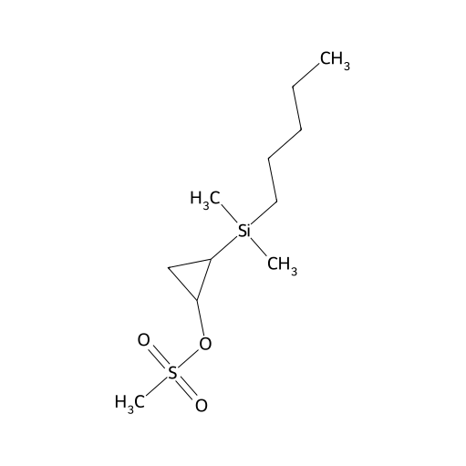 CCCCC[Si](C)(C)C1CC1OS(C)(=O)=O